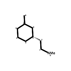 CNCC[C@@H]1CCCC(C)C1